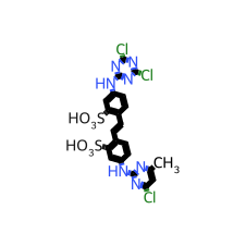 Cc1cc(Cl)nc(Nc2ccc(C=Cc3ccc(Nc4nc(Cl)nc(Cl)n4)cc3S(=O)(=O)O)c(S(=O)(=O)O)c2)n1